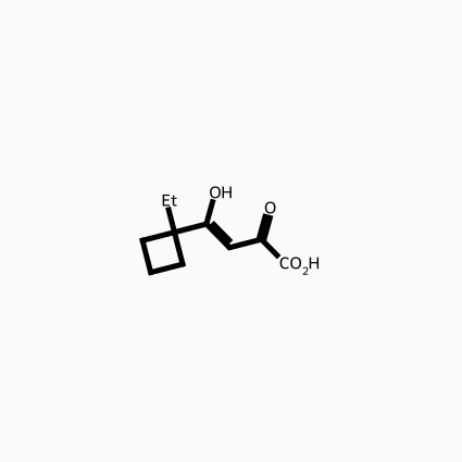 CCC1(C(O)=CC(=O)C(=O)O)CCC1